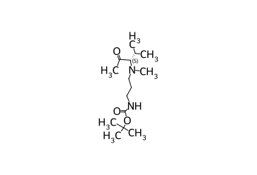 CC(=O)[C@H](C(C)C)N(C)CCCNC(=O)OC(C)(C)C